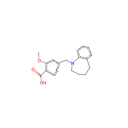 COc1cc(CN2CCCCc3ccccc32)ccc1C(=O)O